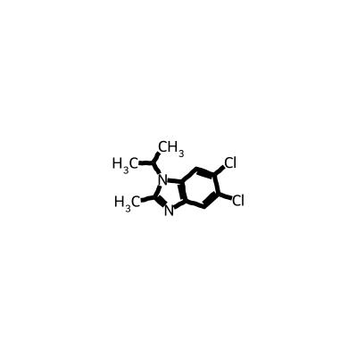 Cc1nc2cc(Cl)c(Cl)cc2n1C(C)C